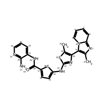 Cc1nc2ccccn2c1-c1nc(Nc2ccc(C(=O)Nc3cccnc3N)s2)sc1C